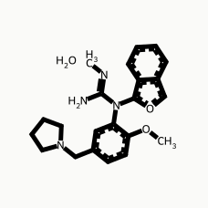 CN=C(N)N(c1cc(CN2CCCC2)ccc1OC)c1occ2ccccc12.O